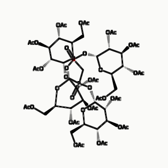 CC(=O)OC[C@H]1O[C@H](OP(=O)(CP(=O)(O[C@H]2O[C@H](COC(C)=O)[C@@H](OC(C)=O)[C@H](OC(C)=O)[C@H]2OC(C)=O)O[C@H]2O[C@H](COC(C)=O)[C@@H](OC(C)=O)[C@H](OC(C)=O)[C@H]2OC(C)=O)O[C@H]2O[C@H](COC(C)=O)[C@@H](OC(C)=O)[C@H](OC(C)=O)[C@H]2OC(C)=O)[C@H](OC(C)=O)[C@@H](OC(C)=O)[C@@H]1OC(C)=O